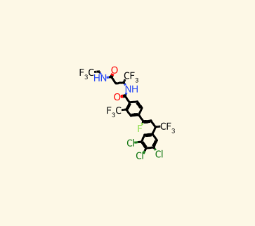 O=C(CC(NC(=O)c1ccc(/C(F)=C/C(c2cc(Cl)c(Cl)c(Cl)c2)C(F)(F)F)cc1C(F)(F)F)C(F)(F)F)NCC(F)(F)F